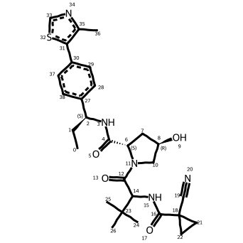 CC[C@H](NC(=O)[C@@H]1C[C@@H](O)CN1C(=O)C(NC(=O)C1(C#N)CC1)C(C)(C)C)c1ccc(-c2scnc2C)cc1